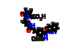 COc1cc(CCC(=O)NCC(C)(C)CNC(=O)N(C)C(C)CC(=O)O)ccc1NC(=O)Nc1ccccc1C